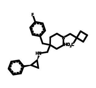 O=C(O)C1(CN2CCC(CN[C@@H]3C[C@H]3c3ccccc3)(Cc3ccc(F)cc3)CC2)CCC1